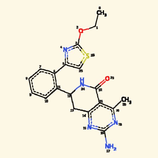 CCOc1nc(-c2ccccc2C2Cc3nc(N)nc(C)c3C(=O)N2)cs1